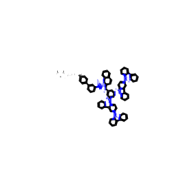 COc1ccc(-c2cccc(-c3nc(-c4cc(-n5c6ccccc6c6cc(-n7c8ccccc8c8ccccc87)ccc65)cc(-n5c6ccccc6c6cc(-n7c8ccccc8c8ccccc87)ccc65)c4)c4ccc5ccccc5c4n3)c2)cc1